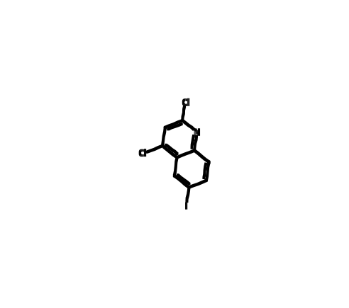 Clc1cc(Cl)c2cc(I)ccc2n1